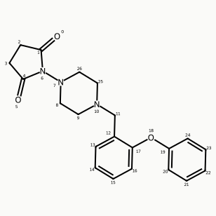 O=C1CCC(=O)N1N1CCN(Cc2ccccc2Oc2ccccc2)CC1